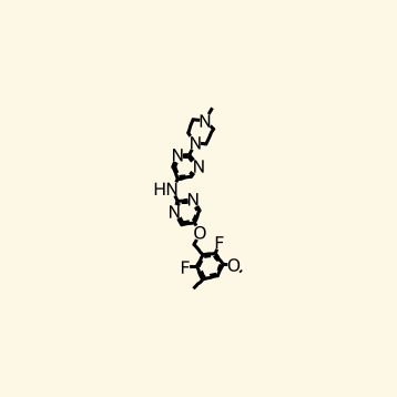 COc1cc(C)c(F)c(COc2cnc(Nc3cnc(N4CCN(C)CC4)nc3)nc2)c1F